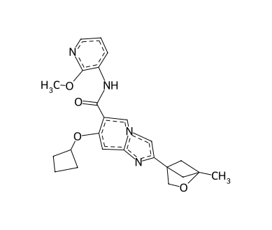 COc1ncccc1NC(=O)c1cn2cc(C34COC(C)(C3)C4)nc2cc1OC1CCC1